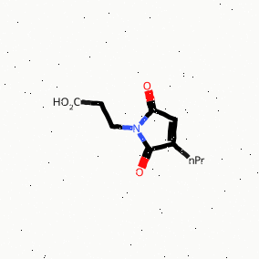 CCCC1=CC(=O)N(CCC(=O)O)C1=O